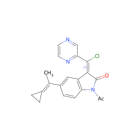 CC(=O)N1C(=O)/C(=C(\Cl)c2cnccn2)c2cc(C(C)=C3CC3)ccc21